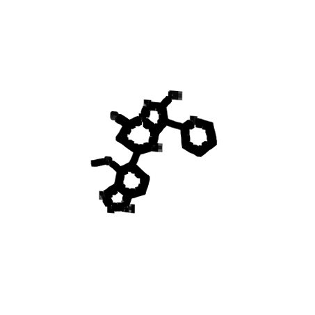 COc1c(-c2cc(=O)n3nc(O)c(-c4ccccn4)c3[nH]2)ccc2[nH]nnc12